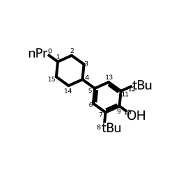 CCCC1CCC(c2cc(C(C)(C)C)c(O)c(C(C)(C)C)c2)CC1